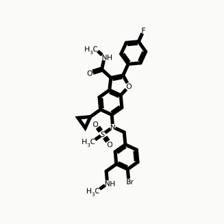 CNCc1cc(CN(c2cc3oc(-c4ccc(F)cc4)c(C(=O)NC)c3cc2C2CC2)S(C)(=O)=O)ccc1Br